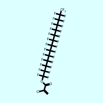 C=C(Cl)C(=O)OC(F)(F)C(F)(F)C(F)(F)C(F)(F)C(F)(F)C(F)(F)C(F)(F)C(F)(F)C(F)(F)C(F)(F)C(F)(F)C(F)(F)C(F)(F)C(F)(F)F